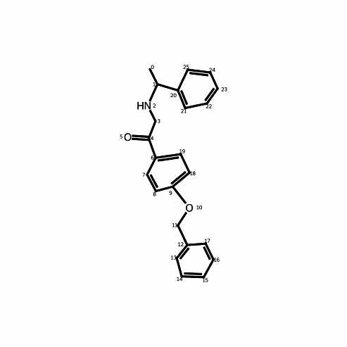 CC(NCC(=O)c1ccc(OCc2ccccc2)cc1)c1ccccc1